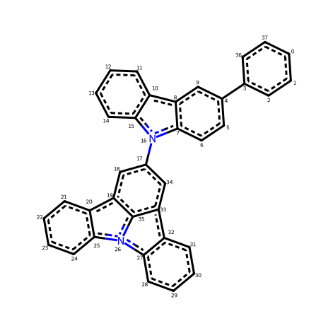 c1ccc(-c2ccc3c(c2)c2ccccc2n3-c2cc3c4ccccc4n4c5ccccc5c(c2)c34)cc1